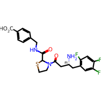 N[C@@H](CC(=O)N1CCSC1C(=O)NCc1ccc(C(=O)O)cc1)Cc1cc(F)c(F)cc1F